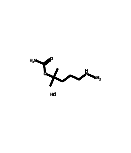 CC(C)(CCCNN)OC(N)=O.Cl